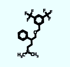 CN(C)CCC(COCc1cc(C(F)(F)F)cc(C(F)(F)F)c1)c1ccccc1